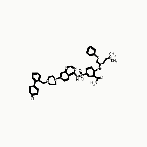 CN(C)CC[C@H](CSc1ccccc1)Nc1ccc(S(=O)(=O)Nc2ncnc3cc(N4CCN(Cc5ccccc5-c5ccc(Cl)cc5)CC4)ccc23)cc1C(N)=O